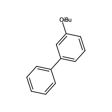 CC(C)COc1cccc(-c2ccccc2)c1